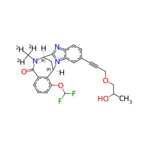 [2H]C([2H])([2H])N1C(=O)c2cccc(OC(F)F)c2[C@H]2C[C@@H]1c1nc3ccc(C#CCOCC(C)O)cc3n12